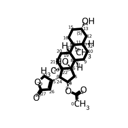 CC(=O)O[C@H]1C[C@]2(O)[C@@H]3CC[C@@H]4C[C@@H](O)CC[C@]4(C)[C@H]3CC[C@]2(C)[C@H]1C1=CC(=O)OC1